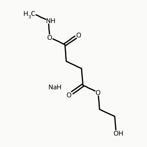 CNOC(=O)CCC(=O)OCCO.[NaH]